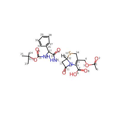 CC(=O)OCC1=C(C(=O)O)N2C(=O)[C@H](NC(=O)C(NC(=O)OC(C)(C)C)c3ccccc3)[C@@H]2SC1